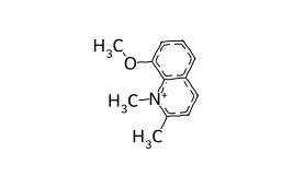 COc1cccc2ccc(C)[n+](C)c12